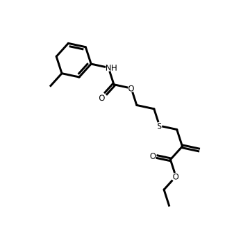 C=C(CSCCOC(=O)NC1=CC(C)CC=C1)C(=O)OCC